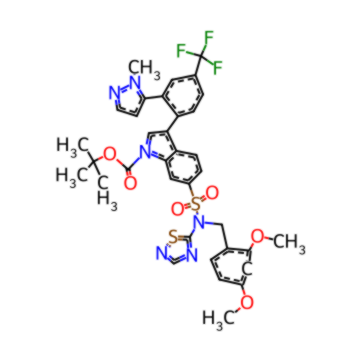 COc1ccc(CN(c2ncns2)S(=O)(=O)c2ccc3c(-c4ccc(C(F)(F)F)cc4-c4ccnn4C)cn(C(=O)OC(C)(C)C)c3c2)c(OC)c1